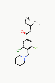 CCC(C)CC(=O)c1cc(F)c(CN2CCCCC2)c(Cl)c1